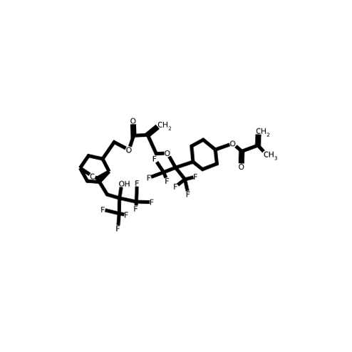 C=C(C)C(=O)OC1CCC(C(OCC(=C)C(=O)OCC2CC3CCC2C(CC(O)(C(F)(F)F)C(F)(F)F)C3)(C(F)(F)F)C(F)(F)F)CC1